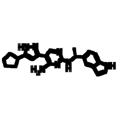 C[C@H](Nc1ncc(-c2cc(C3CCCC3)[nH]n2)c(N)n1)c1ccc2[nH]ccc2c1